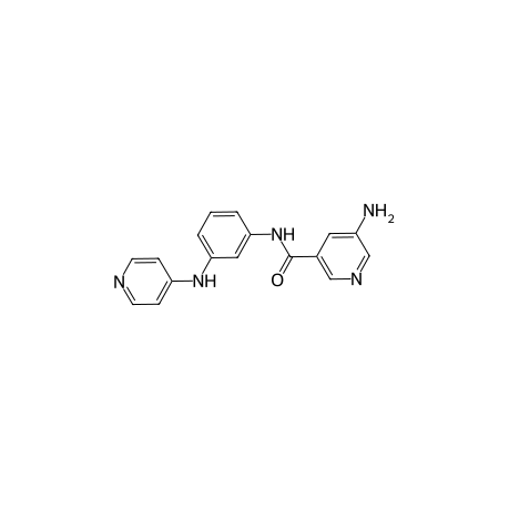 Nc1cncc(C(=O)Nc2cccc(Nc3ccncc3)c2)c1